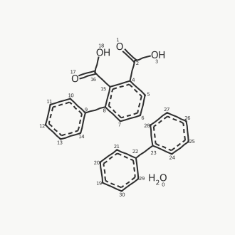 O.O=C(O)c1cccc(-c2ccccc2)c1C(=O)O.c1ccc(-c2ccccc2)cc1